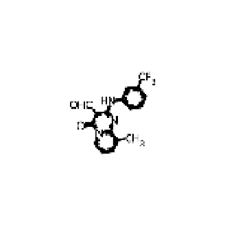 Cc1cccn2c(=O)c(C=O)c(Nc3cccc(C(F)(F)F)c3)nc12